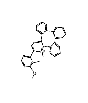 Cc1c(OI)cccc1-c1ccc2c([n+]1C)-c1ccccc1-c1ccccc1-c1ccccc1-2